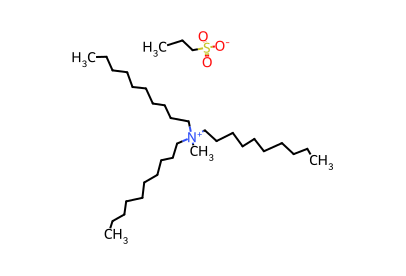 CCCCCCCCCC[N+](C)(CCCCCCCCCC)CCCCCCCCCC.CCCS(=O)(=O)[O-]